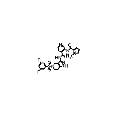 Cn1cccc1C(=O)Nc1cnccc1C(=O)Nc1n[nH]c2c1CN(S(=O)(=O)c1cc(F)cc(F)c1)CC2